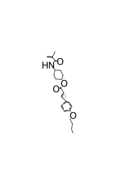 C=C(C)C(=O)NC1CCC(OC(=O)/C=C/c2ccc(OCCCC)cc2)CC1